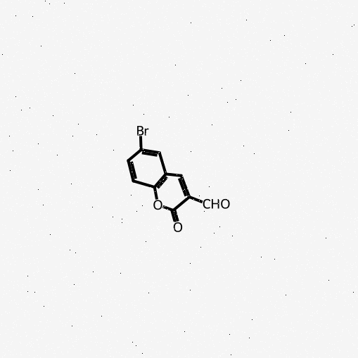 O=Cc1cc2cc(Br)ccc2oc1=O